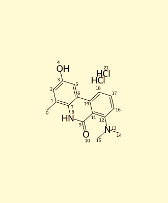 Cc1cc(O)cc2c1[nH]c(=O)c1c(N(C)C)cccc12.Cl.Cl